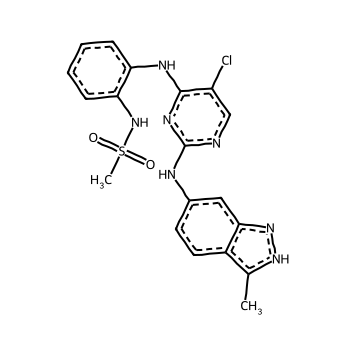 Cc1[nH]nc2cc(Nc3ncc(Cl)c(Nc4ccccc4NS(C)(=O)=O)n3)ccc12